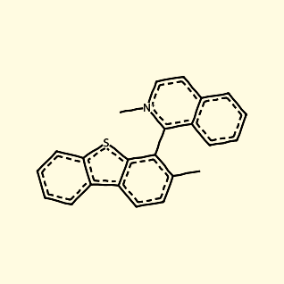 Cc1ccc2c(sc3ccccc32)c1-c1c2ccccc2cc[n+]1C